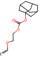 C=COCCOC(=O)OC12CC3CC(CC(C3)C1)C2